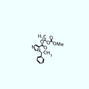 COC(=O)OC(C)OC(=O)c1cncn1[C@H](C)c1ccccc1